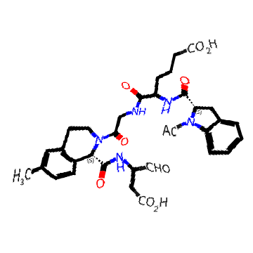 CC(=O)N1c2ccccc2C[C@H]1C(=O)NC(CCCC(=O)O)C(=O)NCC(=O)N1CCc2cc(C)ccc2[C@H]1C(=O)NC(C=O)CC(=O)O